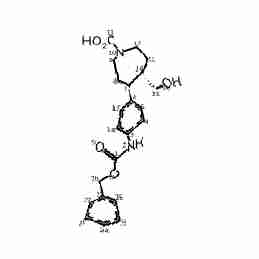 O=C(Nc1ccc([C@H]2CCN(C(=O)O)CC[C@@H]2CO)cc1)OCc1ccccc1